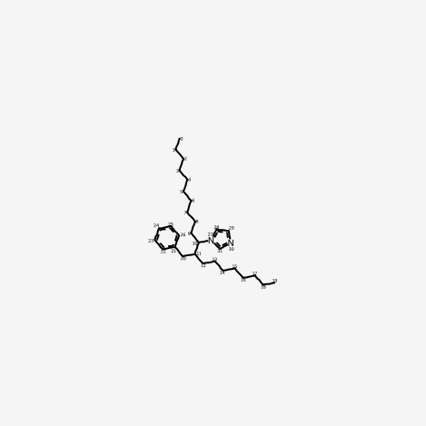 CCCCCCCCCCC(C(CCCCCCCC)Cc1ccccc1)n1ccnc1